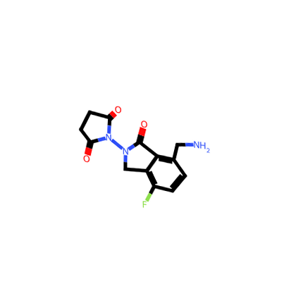 NCc1ccc(F)c2c1C(=O)N(N1C(=O)CCC1=O)C2